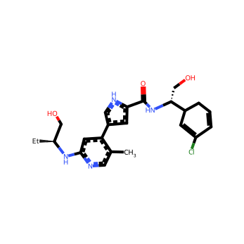 CC[C@@H](CO)Nc1cc(-c2c[nH]c(C(=O)N[C@H](CO)C3C=C(Cl)C=CC3)c2)c(C)cn1